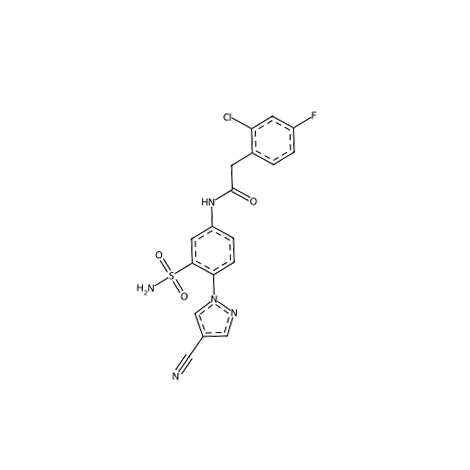 N#Cc1cnn(-c2ccc(NC(=O)Cc3ccc(F)cc3Cl)cc2S(N)(=O)=O)c1